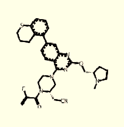 C=C(F)C(=O)N1CCN(c2nc(OC[C@@H]3CCCN3C)nc3cc(-c4cccc5c4CCCS5)ccc23)C[C@@H]1CC#N